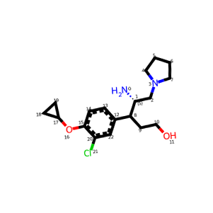 N[C@H](CN1CCCC1)C(CCO)c1ccc(OC2CC2)c(Cl)c1